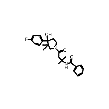 CC(C)(CC(=O)N1CCC(O)(c2ccc(F)cc2)C(C)(C)C1)NC(=O)c1ccccc1